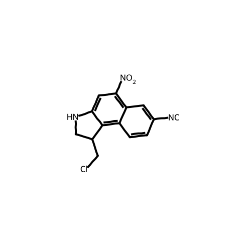 [C-]#[N+]c1ccc2c3c(cc([N+](=O)[O-])c2c1)NCC3CCl